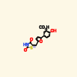 O=C1NC(=O)/C(=C\c2ccc(-c3ccc(O)c(C(=O)O)c3)o2)S1